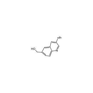 CCCc1cnc2ccc(CO)cc2c1